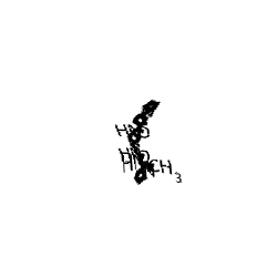 Cc1cc(NC(=O)NCCN2CCC(NC(=O)c3ccc(-n4cccc4)cc3)CC2)c2ccccc2n1